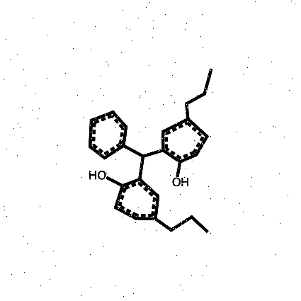 CCCc1ccc(O)c(C(c2ccccc2)c2cc(CCC)ccc2O)c1